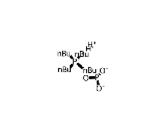 CCCC[P+](CCCC)(CCCC)CCCC.[H+].[H+].[O-]P([O-])[O-]